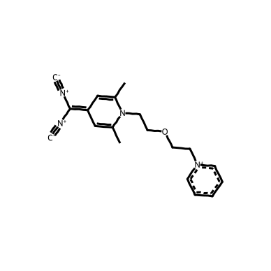 [C-]#[N+]C([N+]#[C-])=C1C=C(C)N(CCOCC[n+]2ccccc2)C(C)=C1